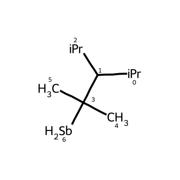 CC(C)C(C(C)C)[C](C)(C)[SbH2]